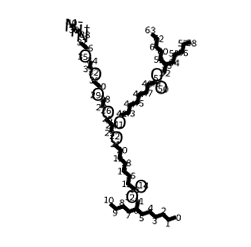 CCCCCCC(CCCC)COC(=O)CCCCCCCOCC(COCCOCCOCCOCCN=[N+]=[N-])OCCCCCCCC(=O)OCC(CCCCC)CCCCC